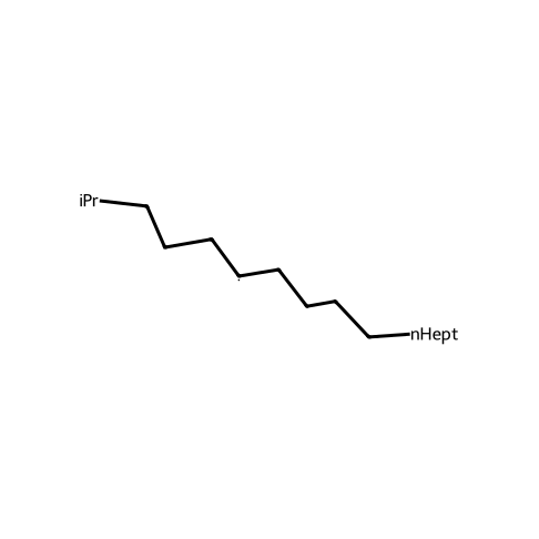 CCCCCCCCCCC[CH]CCCC(C)C